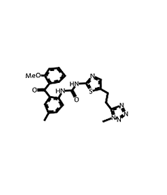 COc1ccccc1C(=O)c1cc(C)ccc1NC(=O)Nc1ncc(CCc2nnnn2C)s1